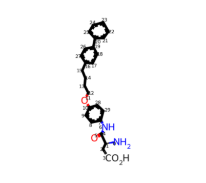 N[C@@H](CC(=O)O)C(=O)Nc1ccc(OCCCCc2ccc(-c3ccccc3)cc2)cc1